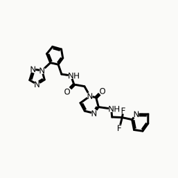 O=C(Cn1ccnc(NCC(F)(F)c2ccccn2)c1=O)NCc1ccccc1-n1cncn1